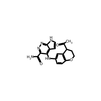 CC(=O)C1CCOc2ccc(Nc3c(C(N)=O)nnc4[nH]ccc34)cc21